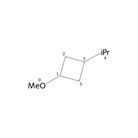 COC1CC(C(C)C)C1